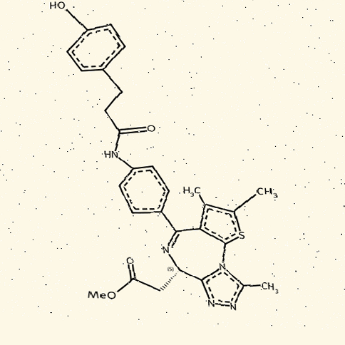 COC(=O)C[C@@H]1N=C(c2ccc(NC(=O)CCc3ccc(O)cc3)cc2)c2c(sc(C)c2C)-n2c(C)nnc21